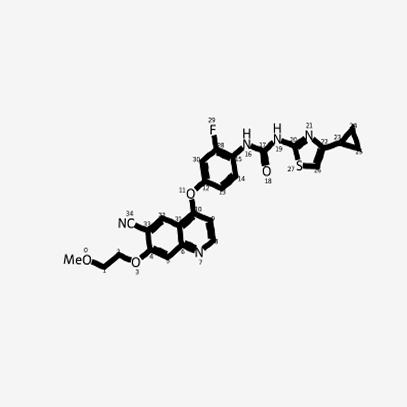 COCCOc1cc2nccc(Oc3ccc(NC(=O)Nc4nc(C5CC5)cs4)c(F)c3)c2cc1C#N